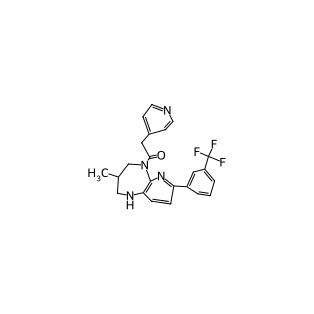 CC1CNc2ccc(-c3cccc(C(F)(F)F)c3)nc2N(C(=O)Cc2ccncc2)C1